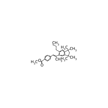 CCCCc1cc2c(cc1C(C)=Cc1ccc(C(=O)OC)cc1)C(C)(C)CC2(C)C